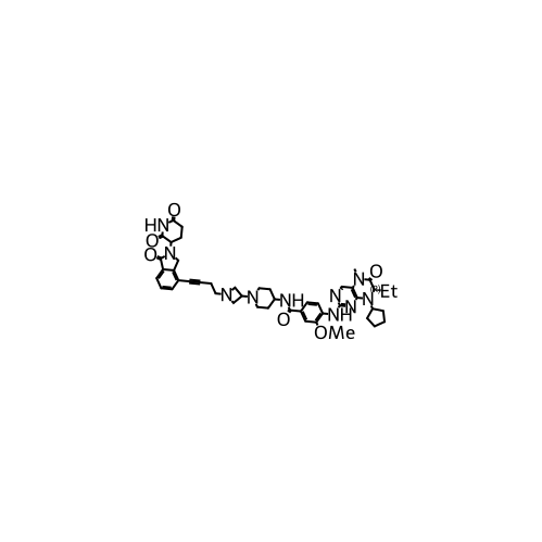 CC[C@@H]1C(=O)N(C)c2cnc(Nc3ccc(C(=O)NC4CCN(C5CN(CCC#Cc6cccc7c6CN(C6CCC(=O)NC6=O)C7=O)C5)CC4)cc3OC)nc2N1C1CCCC1